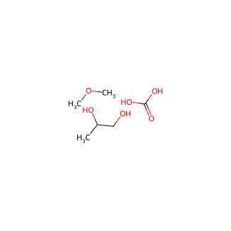 CC(O)CO.COC.O=C(O)O